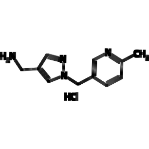 Cc1ccc(Cn2cc(CN)cn2)cn1.Cl